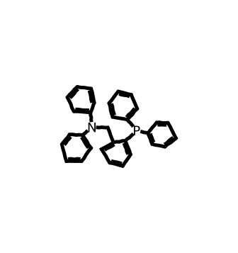 c1ccc(N(Cc2ccccc2P(c2ccccc2)c2ccccc2)c2ccccc2)cc1